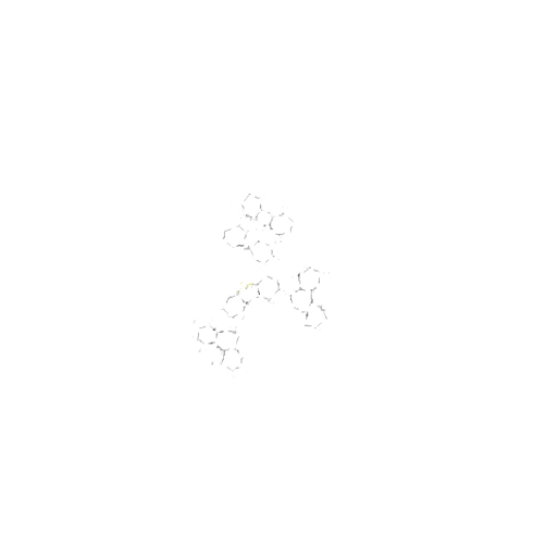 c1ccc(C2(c3ccc(-c4cc(-c5cc6ccccc6c6ccccc56)cc5c4sc4ccc(-c6cc7ccccc7c7ccccc67)cc45)cc3)c3ccccc3-c3ccccc32)cc1